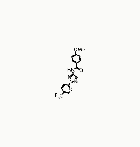 COc1ccc(C(=O)Nc2cnn(-c3ccc(C(F)(F)F)cn3)n2)cc1